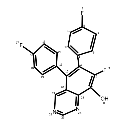 Oc1c(F)c(-c2ccc(F)cc2)c(-c2ccc(F)cc2)c2cncnc12